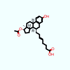 CC(=O)O[C@H]1CC[C@H]2[C@@H]3[C@H](CC/C=C/CCCC(=O)O)Cc4cc(O)ccc4[C@H]3CC[C@]12C